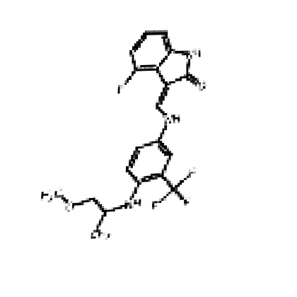 COCC(C)Nc1ccc(NC=C2C(=O)Nc3cccc(F)c32)cc1C(F)(F)F